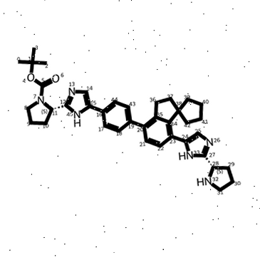 CC(C)(C)OC(=O)N1CCC[C@H]1c1ncc(-c2ccc(-c3ccc(-c4cnc([C@@H]5CCCN5)[nH]4)c4c3CCC43CCCC3)cc2)[nH]1